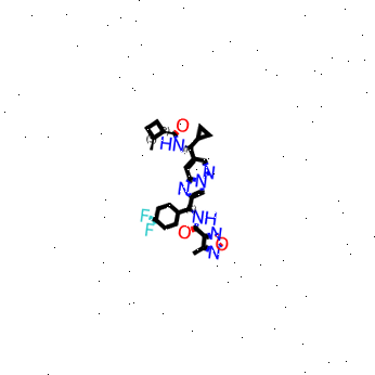 Cc1nonc1C(=O)N[C@H](c1cn2ncc([C@H](NC(=O)[C@@H]3CC[C@@H]3C)C3CC3)cc2n1)C1CCC(F)(F)CC1